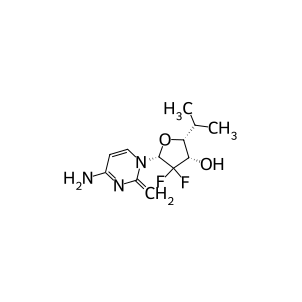 C=C1N=C(N)C=CN1[C@@H]1O[C@H](C(C)C)[C@H](O)C1(F)F